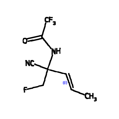 C/C=C/C(C#N)(CF)NC(=O)C(F)(F)F